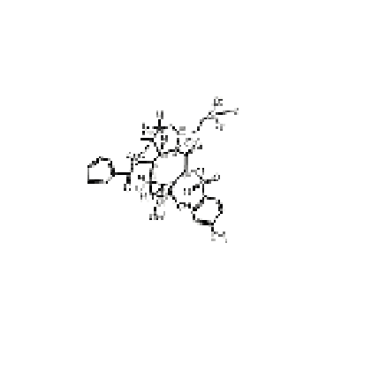 CC[Si](CC)(CC)CC[C@H]1C[C@H]2OC[C@@]2(OC(C)=O)[C@H]2[C@H](OC(=O)c3ccccc3)[C@]3(O)C[C@H](O)C(C)=C([C@@H](OS(=O)(=O)c4ccc(C)cc4)C(=O)[C@]12C)C3(C)C